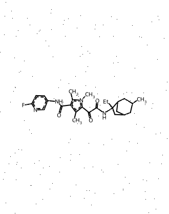 CCC1(NC(=O)C(=O)c2c(C)c(C(=O)Nc3ccc(F)nc3)c(C)n2C)CC2CC(C)CC1C2